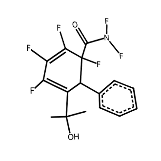 CC(C)(O)C1=C(F)C(F)=C(F)C(F)(C(=O)N(F)F)C1c1ccccc1